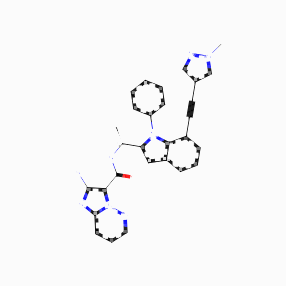 C[C@H](NC(=O)c1c(N)nc2cccnn12)c1cc2cccc(C#Cc3cnn(C)c3)c2n1-c1ccccc1